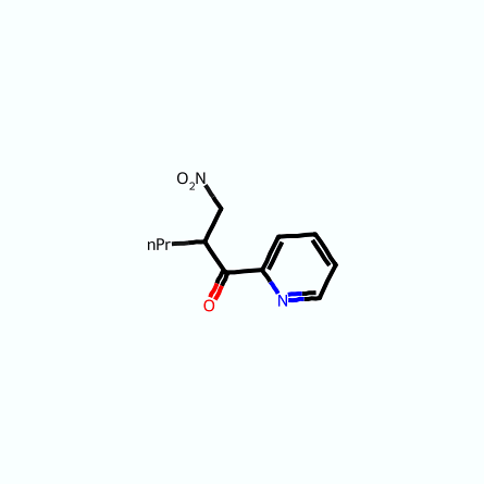 CCCC(C[N+](=O)[O-])C(=O)c1ccccn1